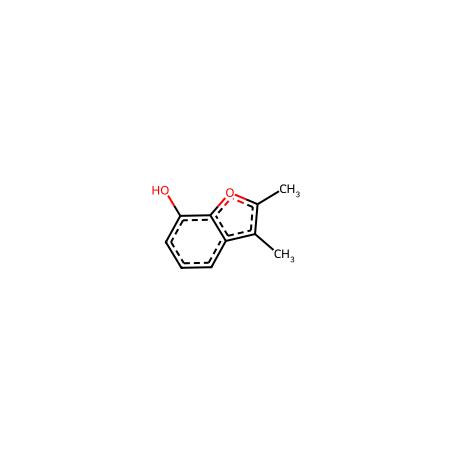 Cc1oc2c(O)cccc2c1C